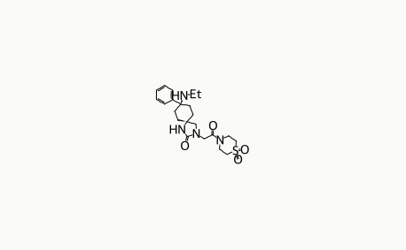 CCN[C@]1(c2ccccc2)CC[C@@]2(CC1)CN(CC(=O)N1CCS(=O)(=O)CC1)C(=O)N2